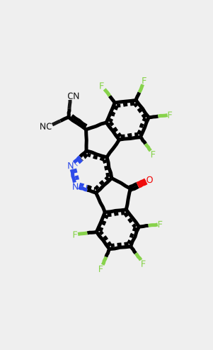 N#CC(C#N)=C1c2nnc3c(c2-c2c(F)c(F)c(F)c(F)c21)C(=O)c1c(F)c(F)c(F)c(F)c1-3